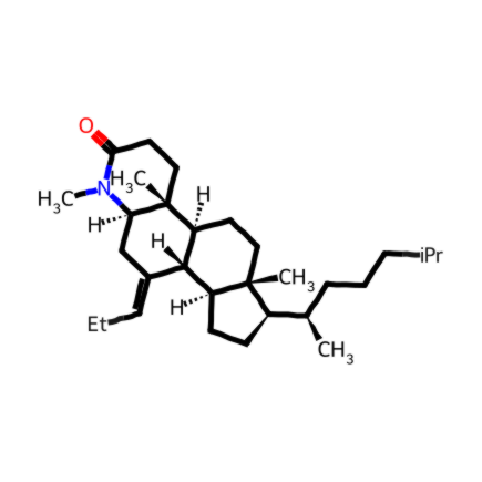 CCC=C1C[C@H]2N(C)C(=O)CC[C@]2(C)[C@H]2CC[C@]3(C)[C@@H]([C@H](C)CCCC(C)C)CC[C@H]3[C@H]12